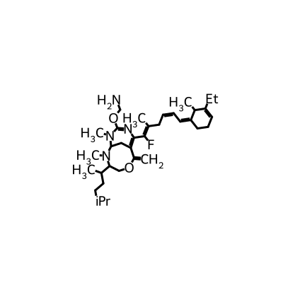 C=C1OCC(C(C)CCC(C)C)N(C)C2CC1=C(/C(F)=C(\C)C/C=C\C=C1\CCC=C(CC)C1C)N=C(OCN)N2C